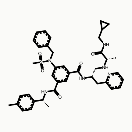 Cc1ccc([C@@H](C)NC(=O)c2cc(C(=O)N[C@H](CN[C@@H](C)C(=O)NCC3CC3)Cc3ccccn3)cc(N(Cc3ccccc3)S(C)(=O)=O)c2)cc1